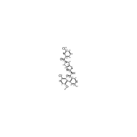 COc1cnc(Cl)cc1-c1cc(C)ncc1C(=O)Nc1nc2c(s1)CN(C(=O)c1cccc(Cl)n1)C2